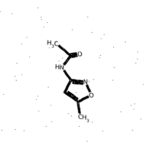 CC(=O)Nc1cc(C)on1